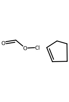 C1=CCCC1.O=COCl